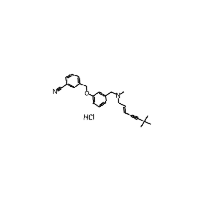 CN(CC=CC#CC(C)(C)C)Cc1cccc(OCc2cccc(C#N)c2)c1.Cl